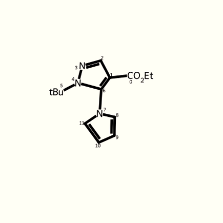 CCOC(=O)c1cnn(C(C)(C)C)c1-n1cccc1